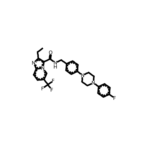 CCc1nc2ccc(C(F)(F)F)cn2c1C(=O)NCc1ccc(N2CCN(c3ccc(F)cc3)CC2)cc1